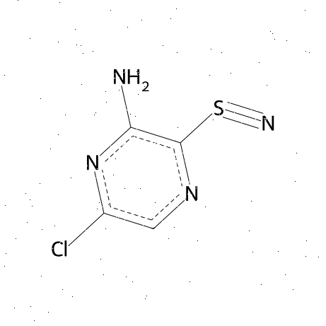 N#Sc1ncc(Cl)nc1N